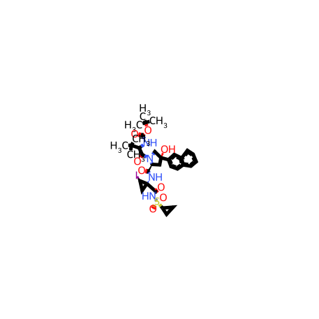 CC(C)(C)OC(=O)NC(C(=O)N1C[C@](O)(c2ccc3ccccc3c2)C[C@H]1C(=O)N[C@]1(C(=O)NS(=O)(=O)C2CC2)C[C@H]1I)C(C)(C)C